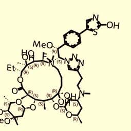 CC[C@H]1OC(=O)[C@H](C)[C@@H](O[C@H]2C[C@@](C)(OC)[C@@H](O)[C@H](C)O2)[C@H](C)[C@@H](O[C@@H]2O[C@H](C)C[C@H](N(C)CCc3cn([C@H](CF)[C@H](OC)c4ccc(-c5cnc(O)s5)cc4)nn3)[C@H]2O)[C@](C)(O)CCCN(C)[C@H](C)[C@@H](O)[C@]1(C)O